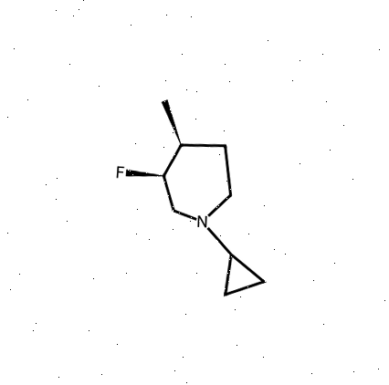 C[C@H]1CCN(C2CC2)C[C@H]1F